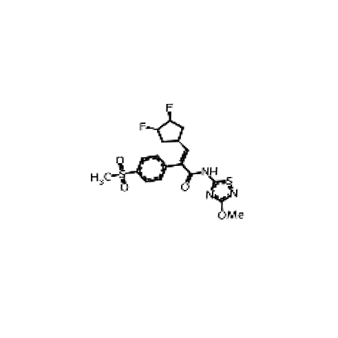 COc1nsc(NC(=O)/C(=C/[C@H]2C[C@@H](F)[C@@H](F)C2)c2ccc(S(C)(=O)=O)cc2)n1